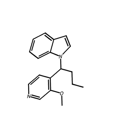 CCCC(c1ccncc1OC)n1ccc2ccccc21